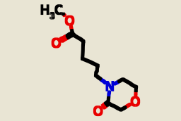 COC(=O)CCCCN1CCOCC1=O